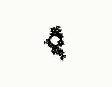 C=CC(=O)N1CCC(F)(C(=O)N(C)[C@H](C(=O)N[C@H]2Cc3cccc(c3)-c3ccc4c(c3)c(c(-c3cccnc3[C@H](C)OC)n4CC)CC(C)(C)COC(=O)[C@@]3(O)CCCN(N3)C2=O)C(C)C)CC1